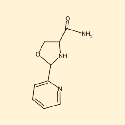 NC(=O)C1COC(c2ccccn2)N1